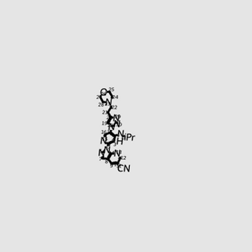 CC(C)Nc1cc(-n2ncc3cc(C#N)cnc32)ncc1-n1cc(CCN2CCOCC2)nn1